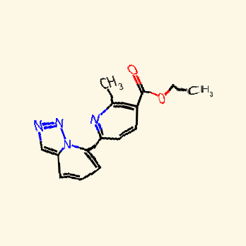 CCOC(=O)c1ccc(-c2cccc3cnnn23)nc1C